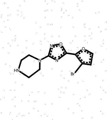 Brc1ccoc1-c1nc(N2CCNCC2)no1